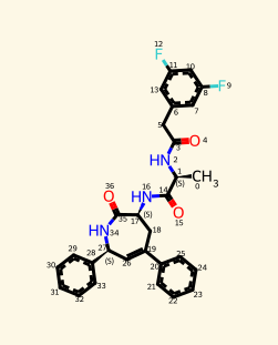 C[C@H](NC(=O)Cc1cc(F)cc(F)c1)C(=O)N[C@H]1CC(c2ccccc2)=C[C@@H](c2ccccc2)NC1=O